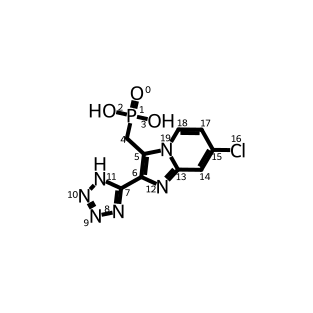 O=P(O)(O)Cc1c(-c2nnn[nH]2)nc2cc(Cl)ccn12